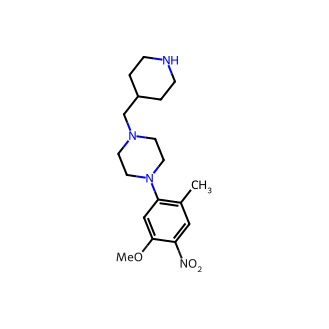 COc1cc(N2CCN(CC3CCNCC3)CC2)c(C)cc1[N+](=O)[O-]